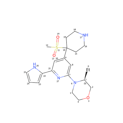 CC[C@H]1COCCN1c1cc(C2(S(C)(=O)=O)CCNCC2)cc(-c2ccc[nH]2)n1